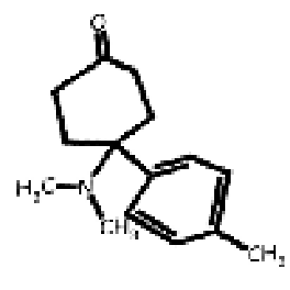 Cc1ccc(C2(N(C)C)CCC(=O)CC2)cc1